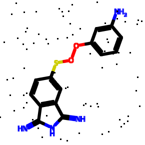 N=C1NC(=N)c2cc(SOOc3cccc(N)c3)ccc21